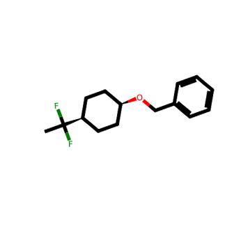 CC(F)(F)[C@H]1CC[C@@H](OCc2ccccc2)CC1